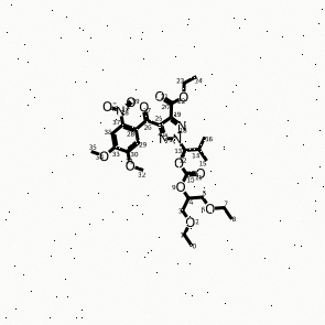 CCOCC(COCC)OC(=O)OC(C(C)C)n1nc(C(=O)OCC)c(C(=O)c2cc(OC)c(OC)cc2[N+](=O)[O-])n1